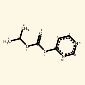 CC(C)OC(=O)Oc1ccncn1